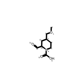 COCC1CCN(C(=O)O)C(C=O)C1